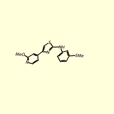 COc1cc(-c2csc(Nc3cccc(SC)c3)n2)ccn1